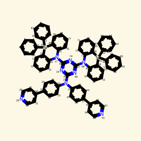 c1ccc([Si]2(c3ccccc3)c3ccccc3N(c3nc(N(c4ccc(-c5ccncc5)cc4)c4ccc(-c5ccncc5)cc4)nc(N4c5ccccc5[Si](c5ccccc5)(c5ccccc5)c5ccccc54)n3)c3ccccc32)cc1